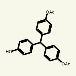 CC(=O)Oc1ccc(C(c2ccc(O)cc2)c2ccc(OC(C)=O)cc2)cc1